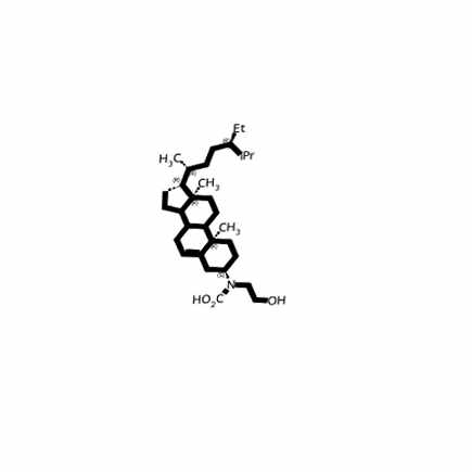 CC[C@H](CC[C@@H](C)[C@H]1CCC2C3CC=C4C[C@@H](N(CCO)C(=O)O)CC[C@]4(C)C3CC[C@@]21C)C(C)C